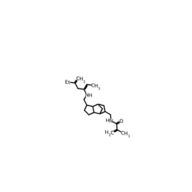 C=C(CC)C/C(=C/C)NCC1CCC2C3CC(CC3CNC(=O)C(=C)C)C12